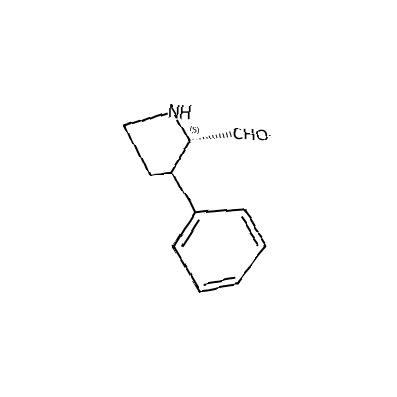 O=[C][C@H]1NCCC1c1ccccc1